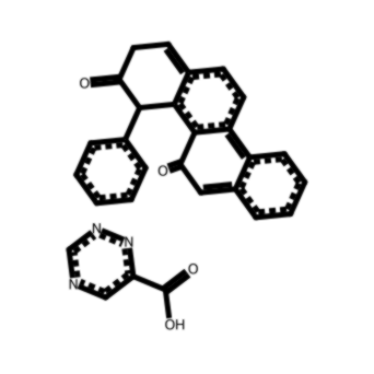 O=C(O)c1cncnn1.O=C1C=c2ccccc2=c2ccc3c(c21)C(c1ccccc1)C(=O)CC=3